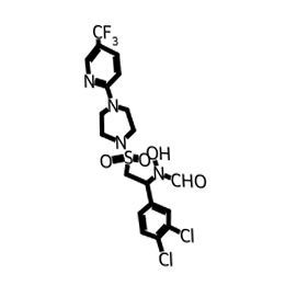 O=CN(O)C(CS(=O)(=O)N1CCN(c2ccc(C(F)(F)F)cn2)CC1)c1ccc(Cl)c(Cl)c1